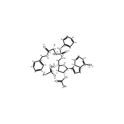 CC(C)C(=O)O[C@H]1[C@H](c2ccc3c(N)ncnn23)O[C@](C#N)(COP(=O)(N[C@@H](C)C(=O)OCc2ccccc2)Oc2ccccc2)[C@H]1OC(=O)C(C)C